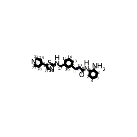 Nc1ccccc1NC(=O)/C=C/c1cccc(CNc2ncc(-c3ccncc3)s2)c1